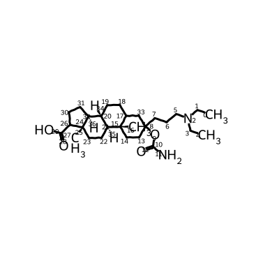 CCN(CC)CCCC1(OC(N)=O)CC[C@@]2(C)C(CC[C@@H]3[C@@H]2CC[C@]2(C)C(C(=O)O)CC[C@@H]32)C1